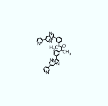 CC(C(=O)C(C)c1cccc(-c2cnc3cc(-c4cccnc4)cnn23)c1)c1cccc(-c2cnc3cc(-c4cccnc4)cnn23)c1